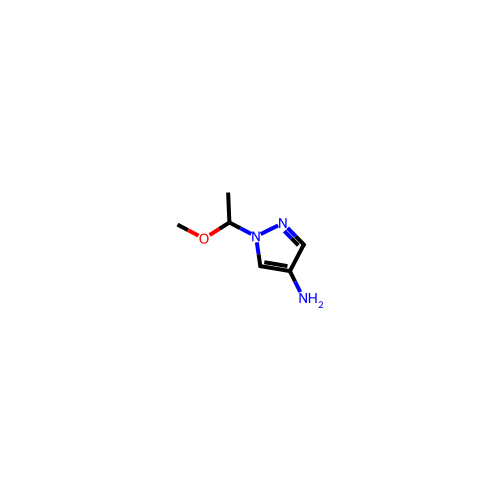 COC(C)n1cc(N)cn1